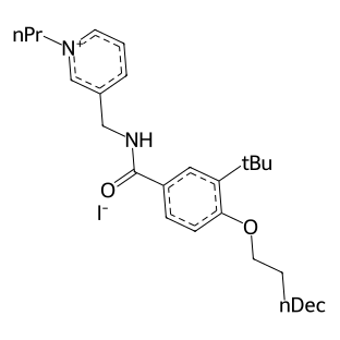 CCCCCCCCCCCCOc1ccc(C(=O)NCc2ccc[n+](CCC)c2)cc1C(C)(C)C.[I-]